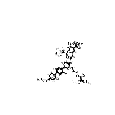 C=C(C)C(=O)OCCCc1cc(-c2ccc(C3CCC(CCCCC)CC3)cc2F)ccc1OCCC(CC(C(=O)OC)C(=O)OC)OC(=O)C(=C)C